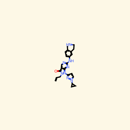 C=CCn1c(=O)c2cnc(Nc3ccc4c(c3)CCNC4)nc2n1-c1ccn(C2CC2)n1